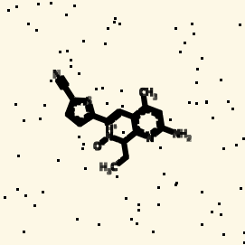 CCC1c2nc(N)cc(C)c2C=C(c2ccc(C#N)s2)[NH+]1[O-]